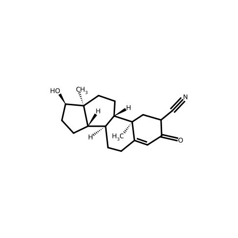 C[C@]12CC[C@H]3[C@@H](CCC4=CC(=O)C(C#N)C[C@@]43C)[C@@H]1CC[C@H]2O